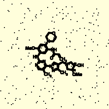 C=CC(=O)Nc1cc(Nc2ncc(C)c(-n3cc(CN4C[C@H](O)[C@H](OC)C4)c(C)n3)n2)c(OC)cc1N1CCOCC1